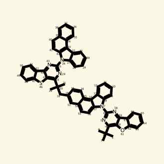 CC(C)(C)c1nc(-n2c3ccccc3c3c4ccc(CC(C)(C)c5nc(-n6c7ccccc7c7c8ccccc8ccc76)nc6c5sc5ccccc56)cc4ccc32)nc2c1oc1ccccc12